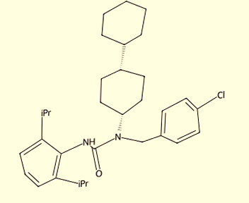 CC(C)c1cccc(C(C)C)c1NC(=O)N(Cc1ccc(Cl)cc1)[C@H]1CC[C@@H](C2CCCCC2)CC1